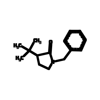 CC(C)(C)C1CCN(Cc2ccccc2)C1=O